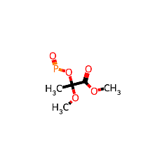 COC(=O)C(C)(OC)OP=O